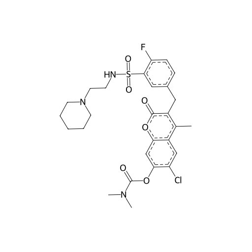 Cc1c(Cc2ccc(F)c(S(=O)(=O)NCCN3CCCCC3)c2)c(=O)oc2cc(OC(=O)N(C)C)c(Cl)cc12